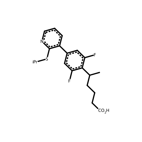 CC(C)Sc1ncccc1-c1cc(F)c(C(C)CCCC(=O)O)c(F)c1